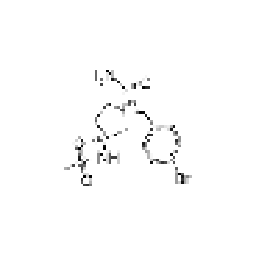 CS(=O)(=O)N[C@H]1CC[C@](Cc2ccc(Br)cc2)(C(N)=O)C1